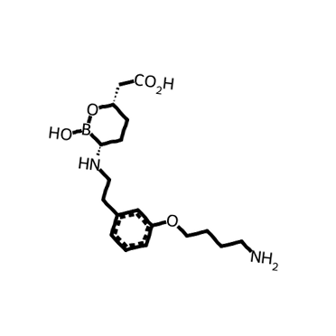 NCCCCOc1cccc(CCN[C@H]2CC[C@@H](CC(=O)O)OB2O)c1